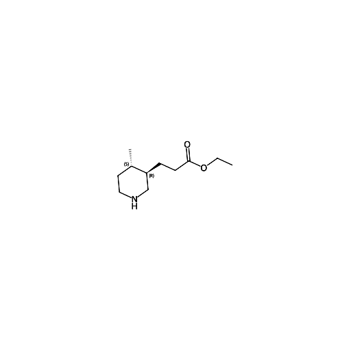 CCOC(=O)CC[C@H]1CNCC[C@@H]1C